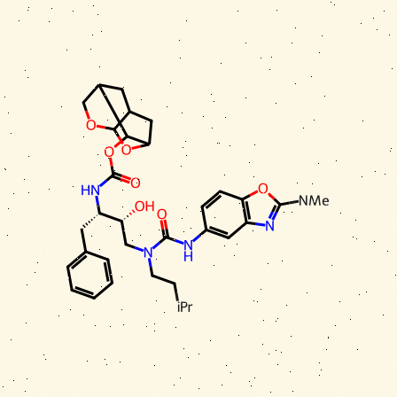 CNc1nc2cc(NC(=O)N(CCC(C)C)C[C@@H](O)[C@H](Cc3ccccc3)NC(=O)OC3C4COC5OC3CC5C4)ccc2o1